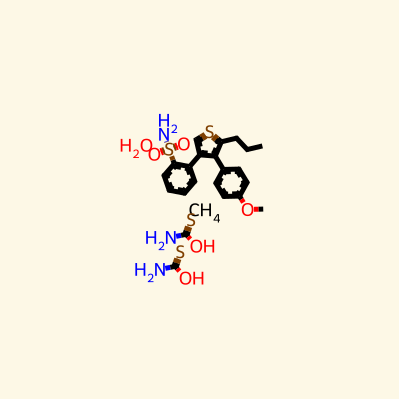 C.CCCc1scc(-c2ccccc2S(N)(=O)=O)c1-c1ccc(OC)cc1.NC(O)=S.NC(O)=S.O